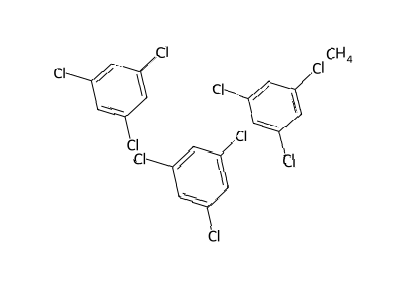 C.Clc1cc(Cl)cc(Cl)c1.Clc1cc(Cl)cc(Cl)c1.Clc1cc(Cl)cc(Cl)c1